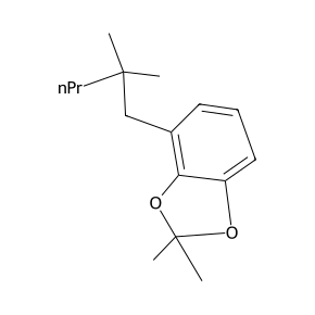 CCCC(C)(C)Cc1cccc2c1OC(C)(C)O2